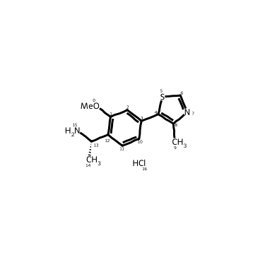 COc1cc(-c2scnc2C)ccc1[C@H](C)N.Cl